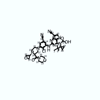 CC(C)(C)C1(N(C(=O)O)c2nc(Nc3cc(C#N)cc(N4CCN(C5COC5)C(C(=O)N5CCOCC5)C4)c3Cl)nn3c(C#N)cnc23)CC1